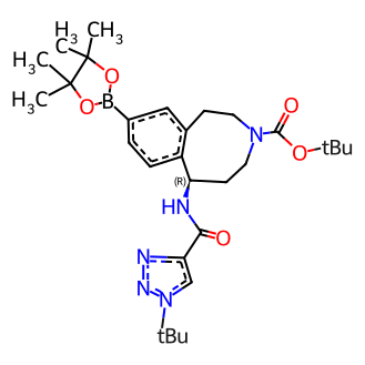 CC(C)(C)OC(=O)N1CCc2cc(B3OC(C)(C)C(C)(C)O3)ccc2[C@H](NC(=O)c2cn(C(C)(C)C)nn2)CC1